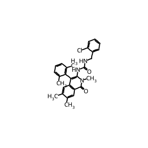 Cc1cc2c(-c3c(C)cccc3C)c(NC(=O)NCc3ccccc3Cl)n(C)c(=O)c2cc1C